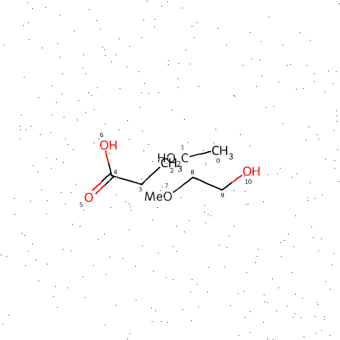 CC(=O)O.CCC(=O)O.COCCO